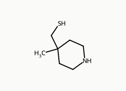 CC1(CS)CCNCC1